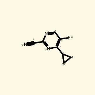 N#Cc1ncc(F)c(C2CC2)n1